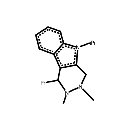 CC(C)C1c2c(n(C(C)C)c3ccccc23)CN(C)N1C